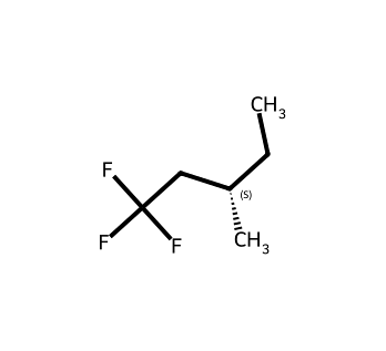 CC[C@H](C)CC(F)(F)F